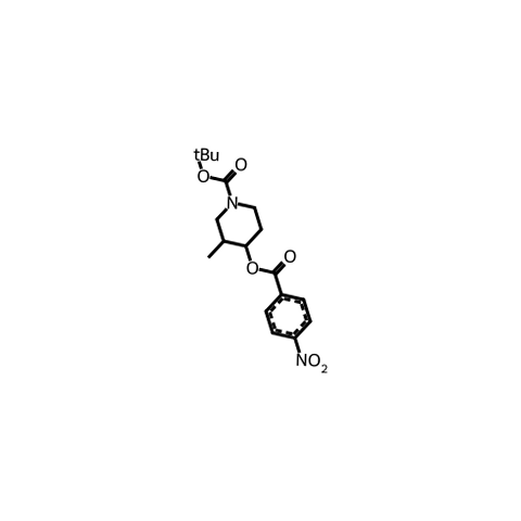 CC1CN(C(=O)OC(C)(C)C)CCC1OC(=O)c1ccc([N+](=O)[O-])cc1